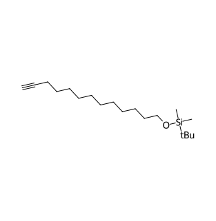 C#CCCCCCCCCCCCO[Si](C)(C)C(C)(C)C